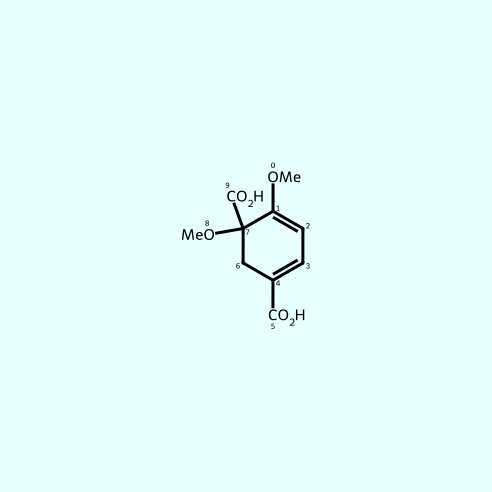 COC1=CC=C(C(=O)O)CC1(OC)C(=O)O